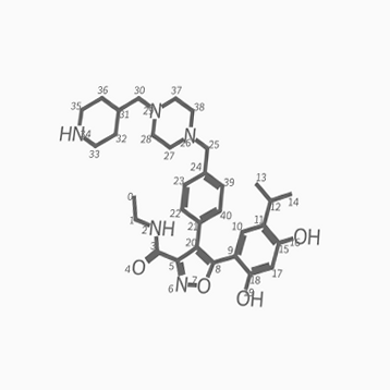 CCNC(=O)c1noc(-c2cc(C(C)C)c(O)cc2O)c1-c1ccc(CN2CCN(CC3CCNCC3)CC2)cc1